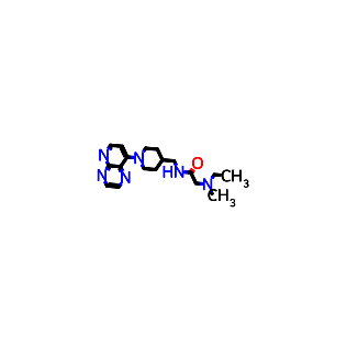 CCN(C)CC(=O)NCC1CCN(c2ccnc3nccnc23)CC1